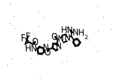 N=C(N)C(c1ccccc1)N1CCN(C(=O)c2cc(-c3nc4cc(NC(=O)C5CC5(F)F)ccc4o3)ccn2)CC1